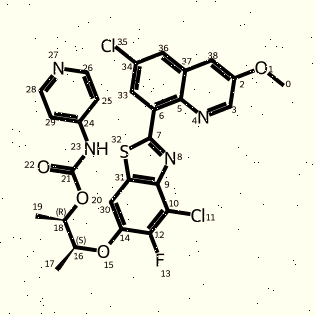 COc1cnc2c(-c3nc4c(Cl)c(F)c(O[C@@H](C)[C@@H](C)OC(=O)Nc5ccncc5)cc4s3)cc(Cl)cc2c1